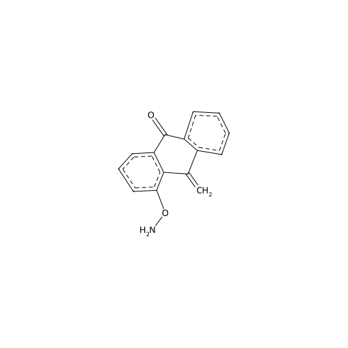 C=C1c2ccccc2C(=O)c2cccc(ON)c21